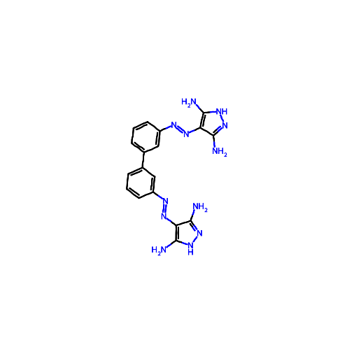 Nc1n[nH]c(N)c1N=Nc1cccc(-c2cccc(N=Nc3c(N)n[nH]c3N)c2)c1